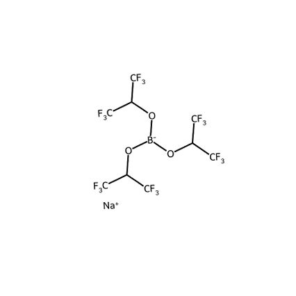 FC(F)(F)C(O[B-](OC(C(F)(F)F)C(F)(F)F)OC(C(F)(F)F)C(F)(F)F)C(F)(F)F.[Na+]